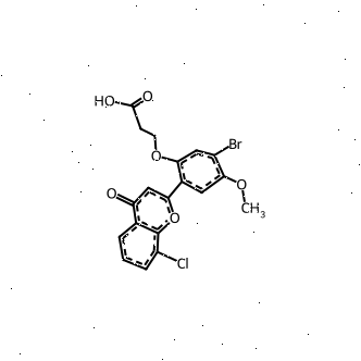 COc1cc(-c2cc(=O)c3cccc(Cl)c3o2)c(OCCC(=O)O)cc1Br